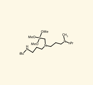 CCCN(C)CCCN(CCCNC(C)CC)C[Si](OC)(OC)OC